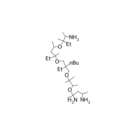 CCCCC(CC)(COC(C)(CC)CC(C)OC(C)(CC)C(C)N)COC(C)(C)C(C)OC(C)(N)CC(C)N